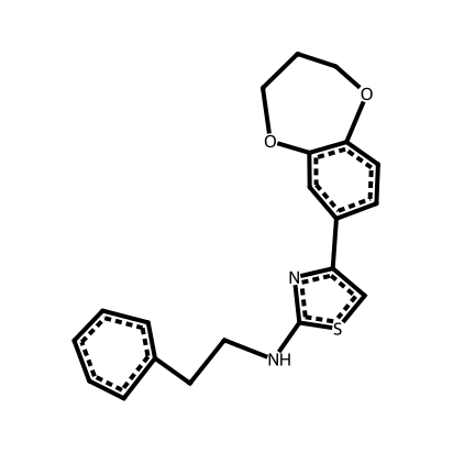 c1ccc(CCNc2nc(-c3ccc4c(c3)OCCCO4)cs2)cc1